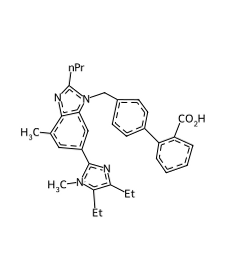 CCCc1nc2c(C)cc(-c3nc(CC)c(CC)n3C)cc2n1Cc1ccc(-c2ccccc2C(=O)O)cc1